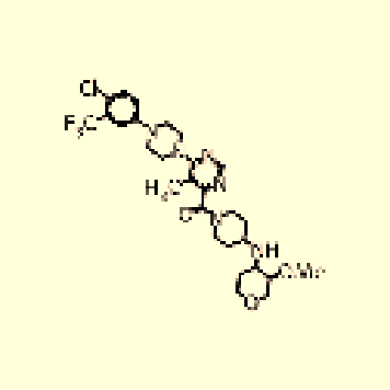 COC1COCCC1NC1CCN(C(=O)c2ncnc(N3CCN(c4ccc(Cl)c(C(F)(F)F)c4)CC3)c2C)CC1